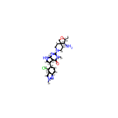 C[C@@H]1OCC2(CCN(c3nc4[nH]cc(-c5ccc6nn(C)cc6c5Cl)c4c(=O)n3C)CC2)[C@@H]1N